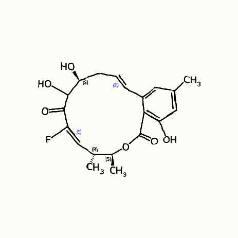 Cc1cc(O)c2c(c1)/C=C/C[C@H](O)C(O)C(=O)/C(F)=C\[C@@H](C)[C@H](C)OC2=O